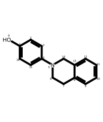 Oc1ccc(N2CCc3ccccc3C2)cc1